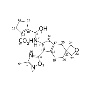 Cc1noc(-c2c(NC(O)C3=C(C(=O)O)CCC3)sc3c2CCC2(COC2)C3)n1